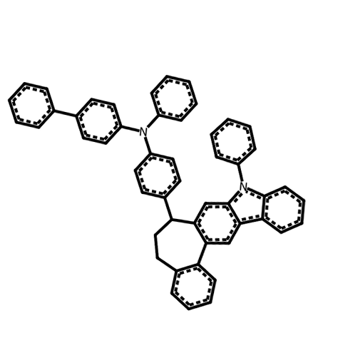 c1ccc(-c2ccc(N(c3ccccc3)c3ccc(C4CCc5ccccc5-c5cc6c7ccccc7n(-c7ccccc7)c6cc54)cc3)cc2)cc1